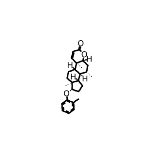 Cc1ccccc1O[C@H]1CC[C@H]2[C@@H]3[C@@H](C)C[C@H]4OC(=O)C=C[C@]4(C)[C@H]3CC[C@]12C